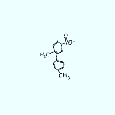 Cc1ccc(-c2cc([N+](=O)[O-])[c]cc2C)cc1